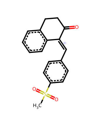 CS(=O)(=O)c1ccc(/C=C2/C(=O)CCc3ccccc32)cc1